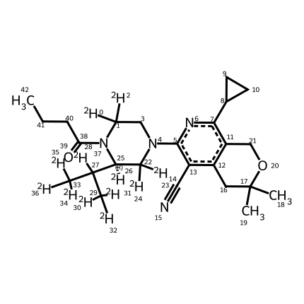 [2H]C1([2H])CN(c2nc(C3CC3)c3c(c2C#N)CC(C)(C)OC3)C([2H])([2H])[C@@]([2H])(C([2H])(C([2H])([2H])[2H])C([2H])([2H])[2H])N1C(=O)CCC